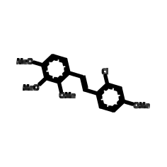 COc1ccc(C=Cc2ccc(OC)c(OC)c2OC)c(Cl)c1